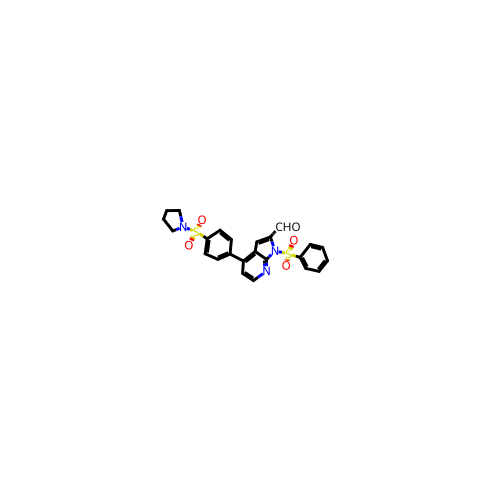 O=Cc1cc2c(-c3ccc(S(=O)(=O)N4CCCC4)cc3)ccnc2n1S(=O)(=O)c1ccccc1